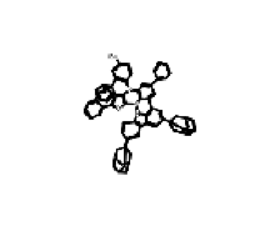 CC(C)(C)c1ccc(N2c3cc(-c4ccccc4)cc4c3B(c3oc5c(ccc6ccccc65)c32)n2c3ccc(C56CC7CC(CC(C7)C5)C6)cc3c3cc(C56CC7CC(CC(C7)C5)C6)cc-4c32)c(-c2ccccc2)c1